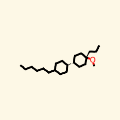 CCCCCCC1CCC([C@H]2CC[C@@](CCC)(OC)CC2)CC1